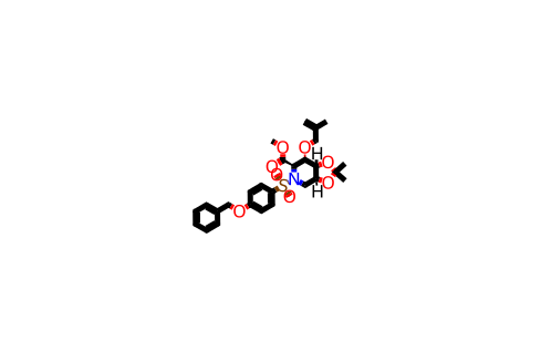 C=C(C)CO[C@@H]1[C@@H]2OC(C)(C)O[C@H]2CN(S(=O)(=O)c2ccc(OCc3ccccc3)cc2)[C@H]1C(=O)OC